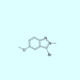 COc1ccc2nn(C)c(Br)c2c1